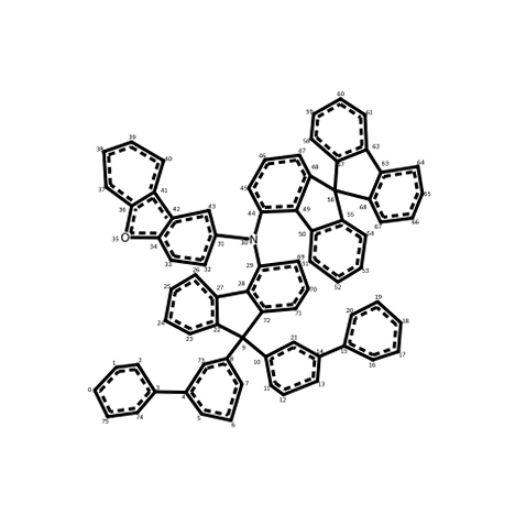 c1ccc(-c2cccc(C3(c4cccc(-c5ccccc5)c4)c4ccccc4-c4c(N(c5ccc6oc7ccccc7c6c5)c5cccc6c5-c5ccccc5C65c6ccccc6-c6ccccc65)cccc43)c2)cc1